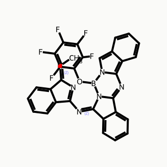 C/N=C1N=C(/N=C2/c3ccccc3C3=Nc4c5ccccc5cn4B(Oc4c(F)c(F)c(F)c(F)c4F)N32)c2ccccc2\1